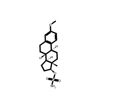 COc1ccc2c(c1)CC[C@@H]1[C@@H]2CC[C@]2(C)[C@@H](OS(N)(=O)=O)CC[C@@H]12